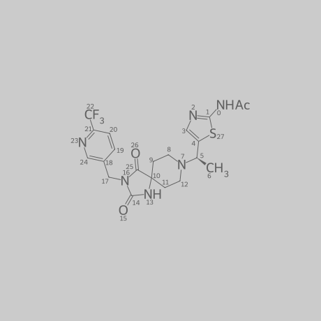 CC(=O)Nc1ncc([C@@H](C)N2CCC3(CC2)NC(=O)N(Cc2ccc(C(F)(F)F)nc2)C3=O)s1